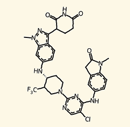 CN1C(=O)Cc2cc(Nc3nc(N4CC[C@@H](Nc5ccc6c(C7CCC(=O)NC7=O)nn(C)c6c5)C(C(F)(F)F)C4)ncc3Cl)ccc21